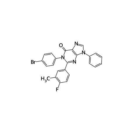 Cc1cc(-c2nc3c(ncn3-c3ccccc3)c(=O)n2-c2ccc(Br)cc2)ccc1F